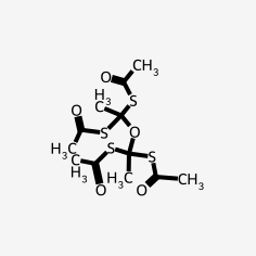 CC(=O)SC(C)(OC(C)(SC(C)=O)SC(C)=O)SC(C)=O